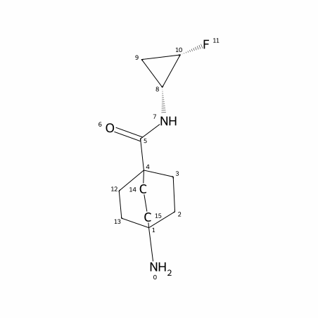 NC12CCC(C(=O)N[C@@H]3C[C@@H]3F)(CC1)CC2